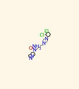 NC(=O)N(CCCCCN1CCN(c2cccc(Cl)c2Cl)CC1)c1ccn2nccc2c1